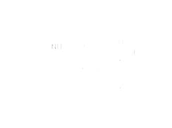 CC(C)C1(C)CCCC(OC(=S)[C@@H]2CCCN2)C1